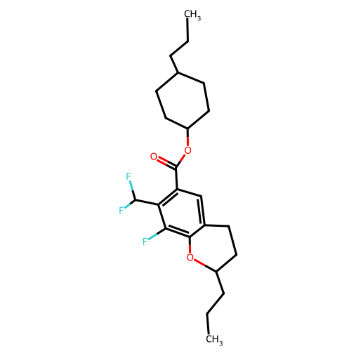 CCCC1CCC(OC(=O)c2cc3c(c(F)c2C(F)F)OC(CCC)CC3)CC1